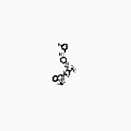 O=[N+]([O-])c1cnc(NCc2ccccc2OC(F)(F)F)nc1NC[C@H]1CC[C@H](NCc2cccc(F)c2)CC1